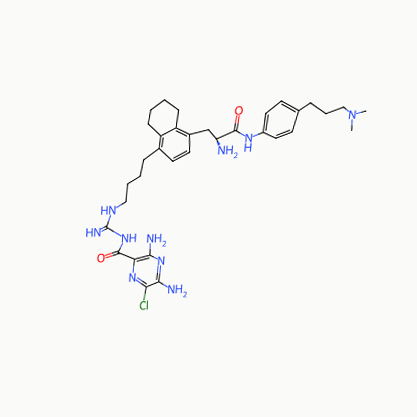 CN(C)CCCc1ccc(NC(=O)[C@@H](N)Cc2ccc(CCCCNC(=N)NC(=O)c3nc(Cl)c(N)nc3N)c3c2CCCC3)cc1